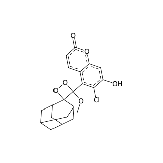 COC1(c2c(Cl)c(O)cc3oc(=O)ccc23)OOC12C1CC3CC(C1)CC2C3